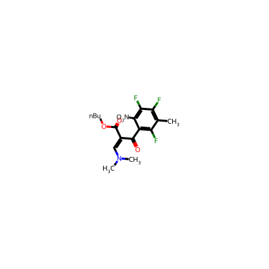 CCCCOC(=O)/C(=C/N(C)C)C(=O)c1c(F)c(C)c(F)c(F)c1[N+](=O)[O-]